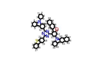 c1ccc(-n2c3ccccc3c3cc(-c4nc(-c5ccc6c(c5)sc5ccccc56)nc(-c5cc(-n6c7ccccc7c7cc8ccccc8cc76)cc6oc7cc8ccccc8cc7c56)n4)ccc32)cc1